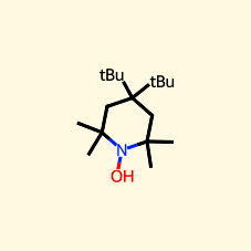 CC1(C)CC(C(C)(C)C)(C(C)(C)C)CC(C)(C)N1O